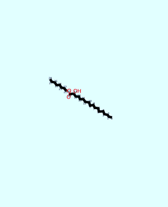 CCCCCCCCCCCCCCCCC(O)C(=O)OCCCCCCCC